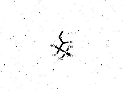 CCC(O)C(O)(O)P(=O)(O)O